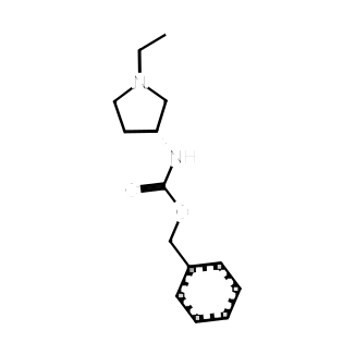 [CH2]CN1CC[C@@H](NC(=O)OCc2ccccc2)C1